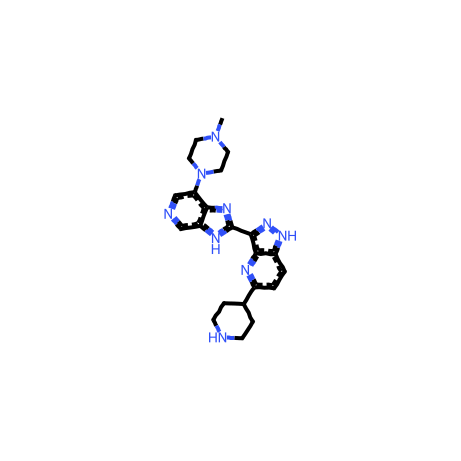 CN1CCN(c2cncc3[nH]c(-c4n[nH]c5ccc(C6CCNCC6)nc45)nc23)CC1